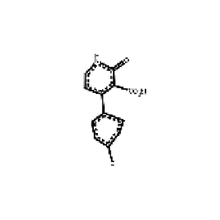 CCOC(=O)c1c(-c2ccc(Cl)cc2)cc[nH]c1=O